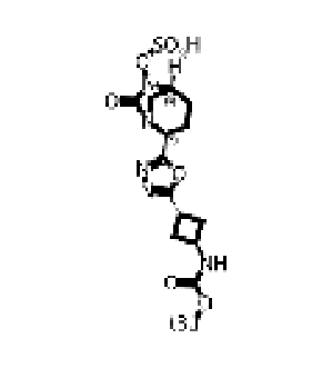 CC(C)(C)OC(=O)N[C@H]1C[C@H](c2nnc([C@@H]3CC[C@@H]4CN3C(=O)N4OS(=O)(=O)O)o2)C1